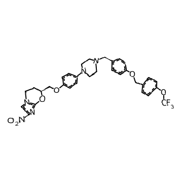 O=[N+]([O-])c1cn2c(n1)O[C@H](COc1ccc(N3CCN(Cc4ccc(OCc5ccc(OC(F)(F)F)cc5)cc4)CC3)cc1)CC2